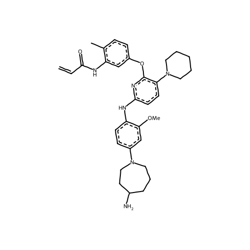 C=CC(=O)Nc1cc(Oc2nc(Nc3ccc(N4CCCC(N)CC4)cc3OC)ccc2N2CCCCC2)ccc1C